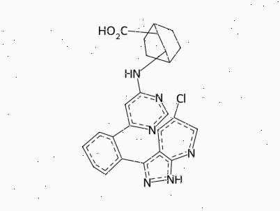 O=C(O)C1C2CCC(CC2)C1Nc1cc(-c2ccccc2-c2n[nH]c3ncc(Cl)cc23)ncn1